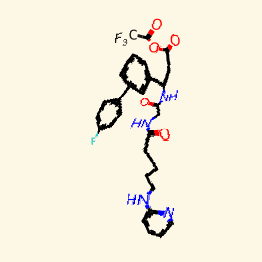 O=C(CCCCNc1ccccn1)NCC(=O)NC(CC(=O)OC(=O)C(F)(F)F)c1cccc(-c2ccc(F)cc2)c1